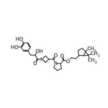 CC1(C)C2C(CCOC(=O)C3CCCN3C(=O)C3CN(C(=O)C(O)Cc4ccc(O)c(O)c4)C3)CCC21C